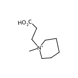 C[N+]1(CCC(=O)O)CCCCC1